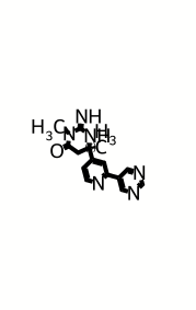 CN1C(=N)N[C@](C)(c2ccnc(-c3cncnc3)c2)CC1=O